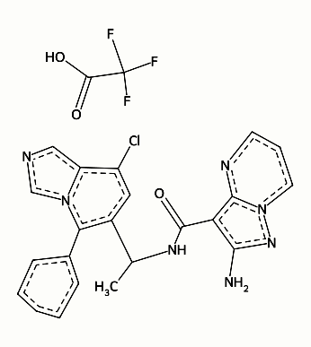 CC(NC(=O)c1c(N)nn2cccnc12)c1cc(Cl)c2cncn2c1-c1ccccc1.O=C(O)C(F)(F)F